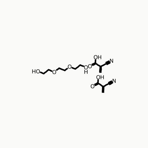 C=C(C#N)C(=O)O.C=C(C#N)C(=O)O.OCCOCCOCCO